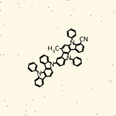 Cc1cc2c(c3cccc(C#N)c3n2-c2ccccc2)c2c1c1cc(-n3c4ccccc4c4c3ccc3c5ccccc5n(-c5ccccc5)c34)ccc1n2-c1ccccc1